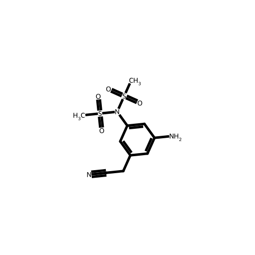 CS(=O)(=O)N(c1cc(N)cc(CC#N)c1)S(C)(=O)=O